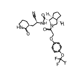 N#C[C@H](C[C@@H]1CCCNC1=O)NC(=O)[C@@H]1[C@H]2CCC[C@H]2CN1C(=O)COc1ccc(OC(F)(F)F)cc1